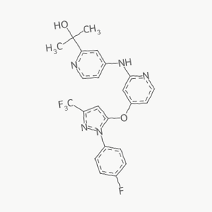 CC(C)(O)c1cc(Nc2cc(Oc3cc(C(F)(F)F)nn3-c3ccc(F)cc3)ccn2)ccn1